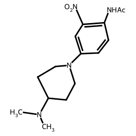 CC(=O)Nc1ccc(N2CCC(N(C)C)CC2)cc1[N+](=O)[O-]